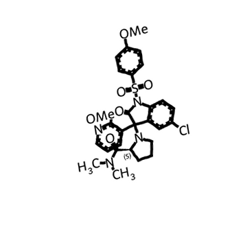 COc1ccc(S(=O)(=O)N2C(=O)C(c3cccnc3OC)(N3CCC[C@H]3C(=O)N(C)C)c3cc(Cl)ccc32)cc1